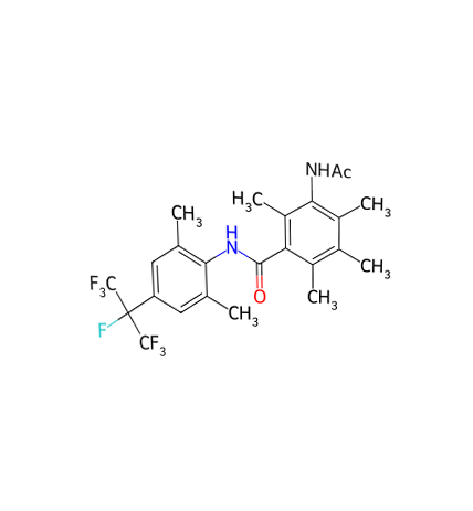 CC(=O)Nc1c(C)c(C)c(C)c(C(=O)Nc2c(C)cc(C(F)(C(F)(F)F)C(F)(F)F)cc2C)c1C